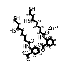 O=C(CCCCC(S)CCS)Nc1ccccc1C(=O)[O-].O=C(CCCCC(S)CCS)Nc1ccccc1C(=O)[O-].[Zn+2]